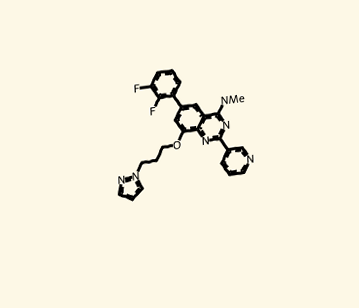 CNc1nc(-c2cccnc2)nc2c(OCCCn3cccn3)cc(-c3cccc(F)c3F)cc12